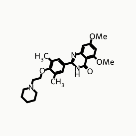 COc1cc(OC)c2c(=O)[nH]c(-c3cc(C)c(OCCN4CCCCC4)c(C)c3)nc2c1